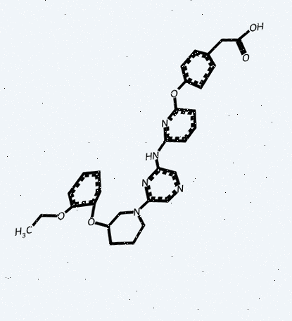 CCOc1ccccc1OC1CCCN(c2cncc(Nc3cccc(Oc4ccc(CC(=O)O)cc4)n3)n2)C1